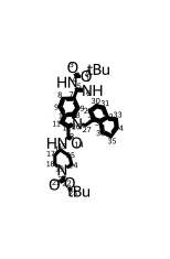 CC(C)(C)OC(=O)NC(=N)c1ccc2cc(C(=O)NC3CCN(C(=O)OC(C)(C)C)CC3)n(Cc3cccc4ccccc34)c2c1